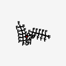 O=S(=O)(NS(=O)(=O)C(F)(F)C(F)(F)C(F)(F)C(F)(F)C(F)(F)F)C(F)(F)C(F)(F)C(F)(F)C(F)(F)C(F)(F)F